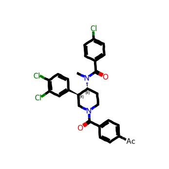 CC(=O)c1ccc(C(=O)N2CC[C@@H](N(C)C(=O)c3ccc(Cl)cc3)[C@H](c3ccc(Cl)c(Cl)c3)C2)cc1